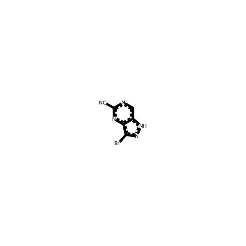 N#Cc1ncc2[nH]nc(Br)c2n1